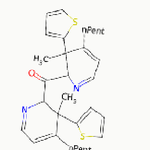 CCCCCC1=CC=NC(C(=O)C2N=CC=C(CCCCC)C2(C)c2cccs2)C1(C)c1cccs1